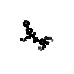 CCOC(C(=O)N/N=C/c1cc(OC)c(Br)c(OC)c1)c1ccc(N2CCOCC2)cc1